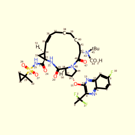 CC(F)(F)c1nc2ccc(F)cc2nc1O[C@@H]1C[C@H]2C(=O)N[C@]3(C(=O)NS(=O)(=O)C4(C)CC4)C[C@H]3C=CCCCCC[C@H](N(C(=O)O)C(C)(C)C)C(=O)N2C1